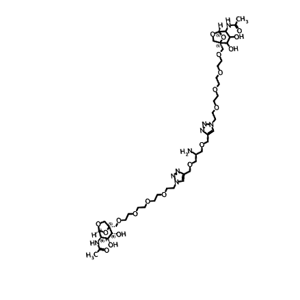 CC(=O)NC1C(O)C(O)[C@]2(COCCOCCOCCOCCn3cc(COCC(N)COCc4cn(CCOCCOCCOCCOC[C@@]56CO[C@@H](O5)[C@H](NC(C)=O)[C@@H](O)[C@H]6O)nn4)nn3)CO[C@H]1O2